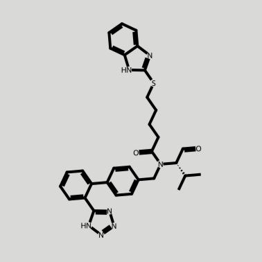 CC(C)[C@@H](C=O)N(Cc1ccc(-c2ccccc2-c2nnn[nH]2)cc1)C(=O)CCCCSc1nc2ccccc2[nH]1